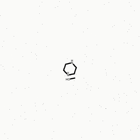 C1CNCCN1.CO